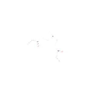 C=CC(=O)OCC(C)(O)COC(=O)C=C